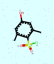 Cc1cc(O)cc(C)c1S(=O)(=O)Cl